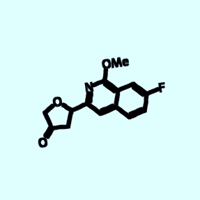 COc1nc(C2CC(=O)CO2)cc2ccc(F)cc12